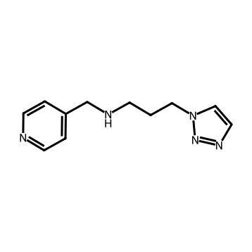 c1cc(CNCCCn2ccnn2)ccn1